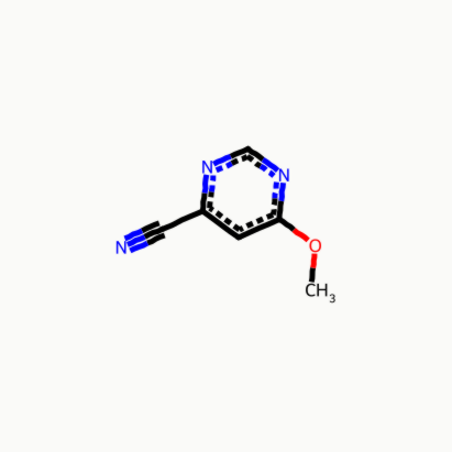 COc1cc(C#N)ncn1